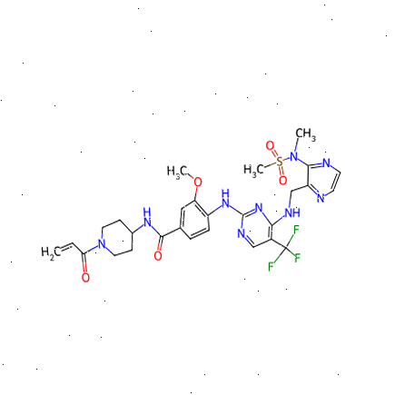 C=CC(=O)N1CCC(NC(=O)c2ccc(Nc3ncc(C(F)(F)F)c(NCc4nccnc4N(C)S(C)(=O)=O)n3)c(OC)c2)CC1